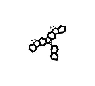 c1ccc2cc(-n3c4cc5c(cc4c4cc6[nH]c7ccccc7c6cc43)[nH]c3ccccc35)ccc2c1